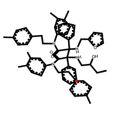 CCC(O)CNC(C(=O)N(CCc1ccc(C)cc1)c1ccc(C)c(C)c1)(c1ccccc1)C(NCc1ccco1)(C(=O)N(CCc1ccc(C)cc1)c1ccc(C)c(C)c1)c1ccccc1